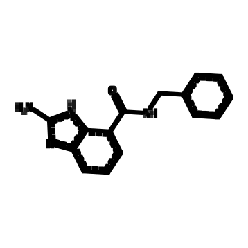 Nc1nc2cccc(C(=O)NCc3ccccc3)c2[nH]1